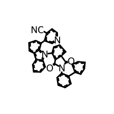 N#Cc1ccncc1-c1cccc2c3ccccc3n(-c3cccc4c3C(=O)N(c3ccccc3-c3ccccc3)C4=O)c12